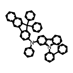 c1ccc(-c2ccccc2-n2c3ccccc3c3ccc(N(c4ccccc4)c4ccc5c(c4)C(c4ccccc4)(c4ccccc4)c4cc6ccccc6cc4-5)cc32)cc1